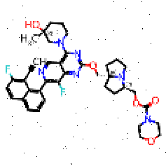 C#Cc1c(F)ccc2cccc(-c3ncc4c(N5CCC[C@@](C)(O)C5)nc(OC[C@]56CCCN5[C@@H](COC(=O)N5CCOCC5)CC6)nc4c3F)c12